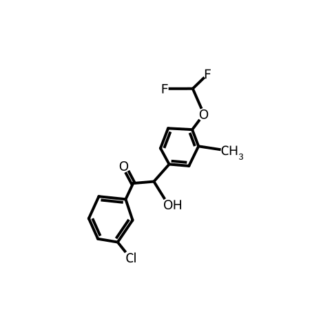 Cc1cc(C(O)C(=O)c2cccc(Cl)c2)ccc1OC(F)F